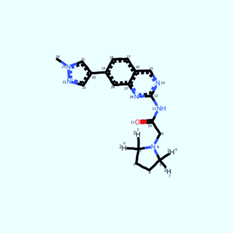 [2H]C1([2H])CCC([2H])([2H])N1CC(=O)Nc1ncc2ccc(-c3cnn(C)c3)cc2n1